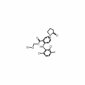 CCOCOC(=O)c1ccccc1Nc1c(Cl)ccc(C)c1Cl.O=C1CCCN1